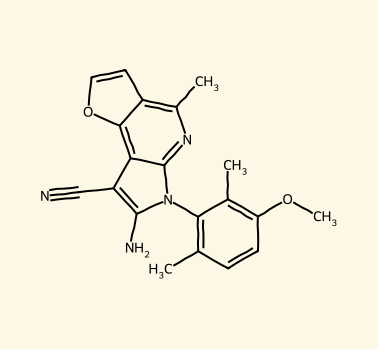 COc1ccc(C)c(-n2c(N)c(C#N)c3c4occc4c(C)nc32)c1C